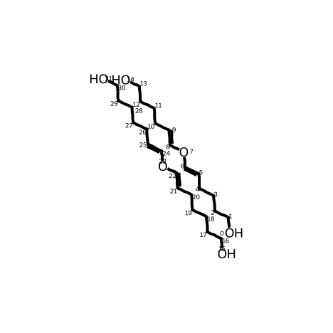 OCCCCC=COC=CCCCCO.OCCCCCC=COC=CCCCCCO